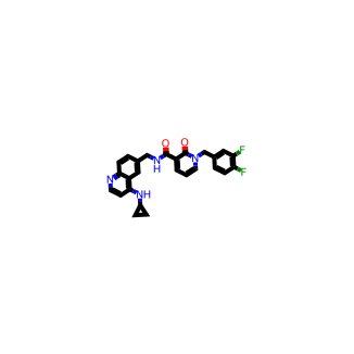 O=C(NCc1ccc2nccc(NC3CC3)c2c1)c1cccn(Cc2ccc(F)c(F)c2)c1=O